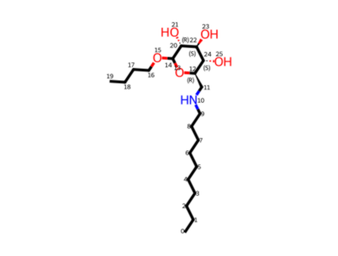 CCCCCCCCCCNC[C@H]1OC(OCCCC)[C@H](O)[C@@H](O)[C@@H]1O